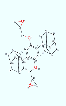 c1c(OCC2CO2)c(C23CC4CC(CC(C4)C2)C3)cc(OCC2CO2)c1C12CC3CC(CC(C3)C1)C2